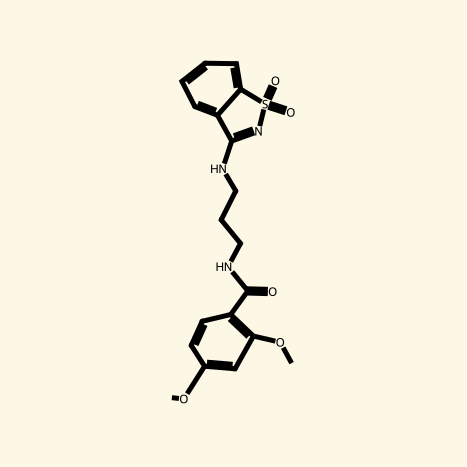 COc1ccc(C(=O)NCCCNC2=NS(=O)(=O)c3ccccc32)c(OC)c1